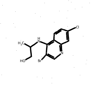 CC(CO)Nc1c(Br)cnc2cc(Cl)ccc12